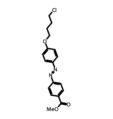 COC(=O)c1ccc(N=Nc2ccc(OCCCCCl)cc2)cc1